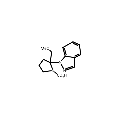 COCC1(n2ncc3ccccc32)CCCN1C(=O)O